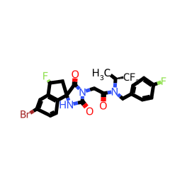 C[C@H](N(Cc1ccc(F)cc1)C(=O)CN1C(=O)NC2(CC(F)c3cc(Br)ccc32)C1=O)C(F)(F)F